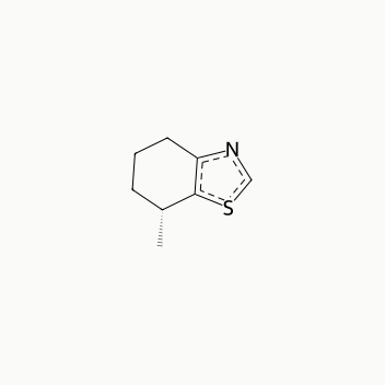 C[C@@H]1CCCc2ncsc21